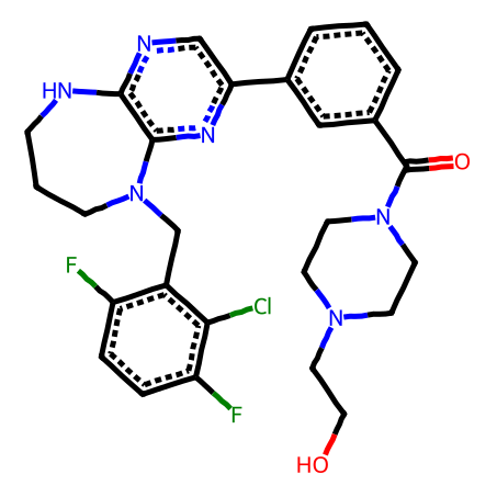 O=C(c1cccc(-c2cnc3c(n2)N(Cc2c(F)ccc(F)c2Cl)CCCN3)c1)N1CCN(CCO)CC1